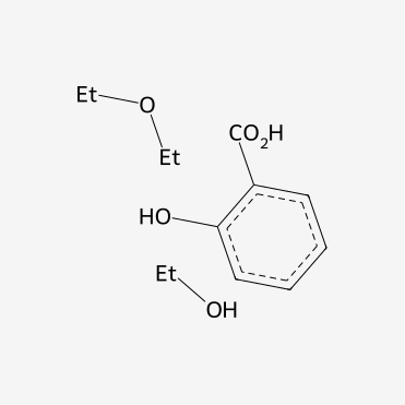 CCO.CCOCC.O=C(O)c1ccccc1O